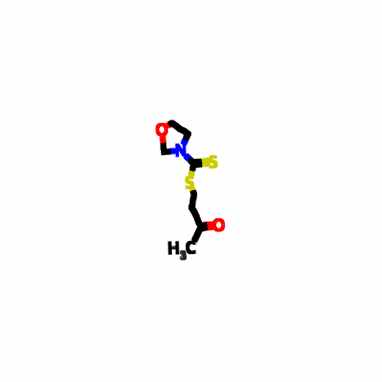 CC(=O)CCSC(=S)N1CCOC1